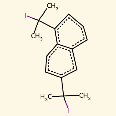 CC(C)(I)c1ccc2c(C(C)(C)I)cccc2c1